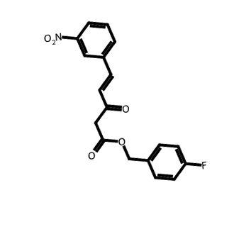 O=C(C=Cc1cccc([N+](=O)[O-])c1)CC(=O)OCc1ccc(F)cc1